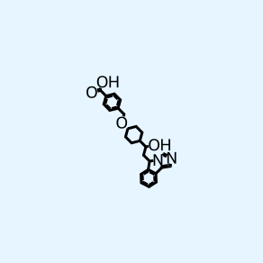 O=C(O)c1ccc(COC2CCC(C(O)CC3c4ccccc4-c4cncn43)CC2)cc1